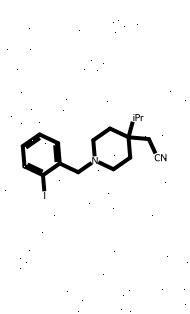 CC(C)C1(CC#N)CCN(Cc2ccccc2I)CC1